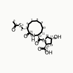 CC(=O)SC[C@@H]1CCCCCC[C@@H](C(=O)N2C[C@H](O)C[C@H]2C(=O)O)NC1=O